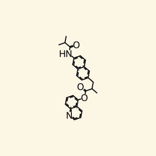 CC(C)C(=O)Nc1ccc2cc(CC(C)C(=O)Oc3cccc4ncccc34)ccc2c1